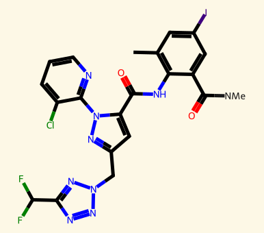 CNC(=O)c1cc(I)cc(C)c1NC(=O)c1cc(Cn2nnc(C(F)F)n2)nn1-c1ncccc1Cl